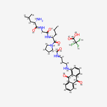 CCC[C@H](NC(=O)CNC(=O)[C@@H](N)CC(C)C)C(=O)N1CCC[C@H]1C(=O)NCCCNc1cccc2c1C(=O)c1ccccc1C2=O.O=C(O)C(F)(F)F